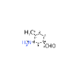 C[C@H]1CC[C@@H](C=O)CC1N